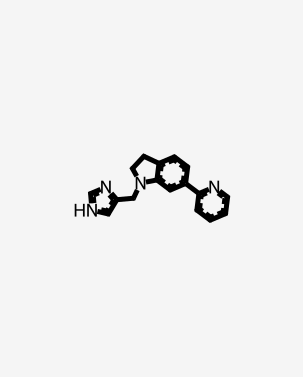 c1ccc(-c2ccc3c(c2)N(Cc2c[nH]cn2)CC3)nc1